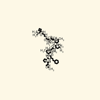 Cc1nc(C(=O)N2CCC[C@@H]2C(=O)NC(CCC2CCCCC2)C(=O)NC(CC(C)C)C(=O)NC(C)(C)C(=O)NC(CC(C)C)C(=O)NC(CC(C)C)C(=O)NC(C)(C)C(=O)NC(C)(C)C(=O)NCCC(=O)NC2(CN(C)C)CCC2)co1